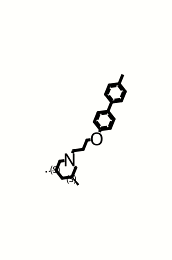 Cc1ccc(-c2ccc(OCCCN3C[C@@H](C)C[C@H](C)C3)cc2)cc1